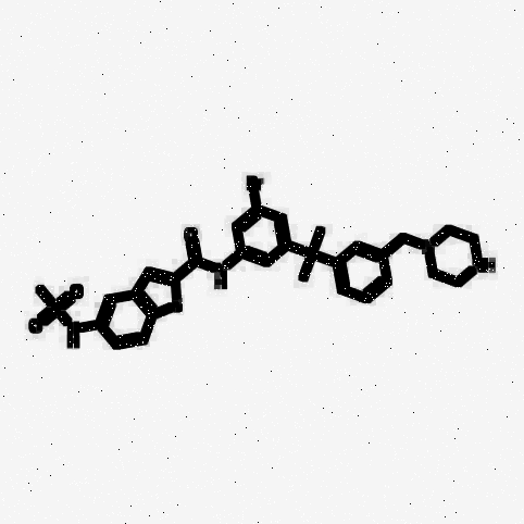 CC(C)(c1cccc(CN2CCNCC2)c1)c1cc(Br)cc(NC(=O)c2cc3cc(NS(C)(=O)=O)ccc3s2)c1